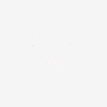 CCCCCCCCCCCCCCCCCCCCCC(=O)OCC(CN(CCCCC(N)C(=O)OC(C)(C)C)CC(COC(=O)CCCCCCCCCCCCCCCCCCCCC)OC(=O)CCCCCCCCCCCCCCCCCCCCC)OC(=O)CCCCCCCCCCCCCCCCCCCCC